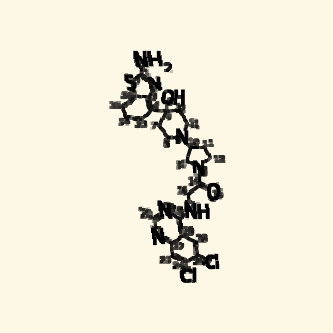 Nc1nc2c(C3(O)CCN(C4CCN(C(=O)CNc5ncnc6cc(Cl)c(Cl)cc56)C4)CC3)cccc2s1